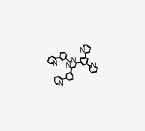 c1ccc(-c2cccc(-c3cc(-c4cc(-c5ccccn5)cc(-c5ccccn5)c4)nc(-c4cccc(-c5ccccn5)c4)n3)c2)nc1